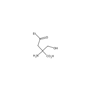 CCC(=O)CC(N)(CO)C(=O)O